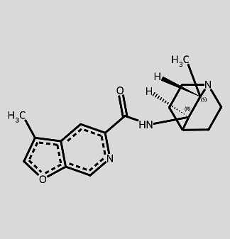 Cc1coc2cnc(C(=O)N[C@@H]3C4CCN(CC4)[C@H]3C)cc12